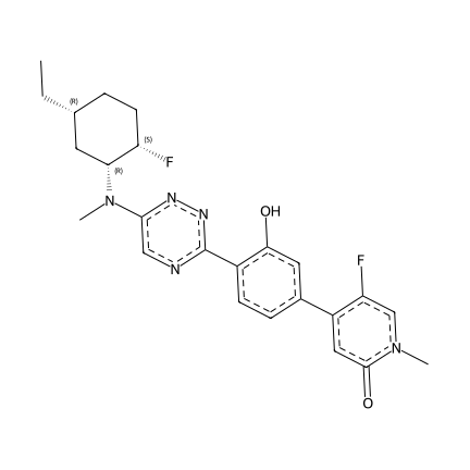 CC[C@@H]1CC[C@H](F)[C@H](N(C)c2cnc(-c3ccc(-c4cc(=O)n(C)cc4F)cc3O)nn2)C1